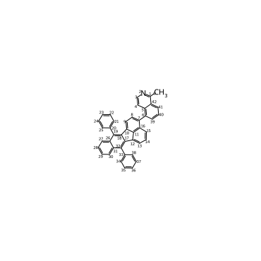 Cc1nccc2c(-c3ccc4c5c(cccc35)-c3c-4c(-c4ccccc4)c4ccccc4c3-c3ccccc3)cccc12